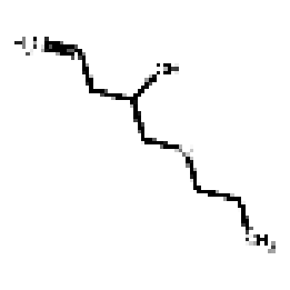 C=CCC(O)COCCC